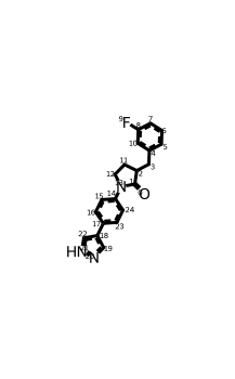 O=C1C(Cc2cccc(F)c2)CCN1c1ccc(-c2cn[nH]c2)cc1